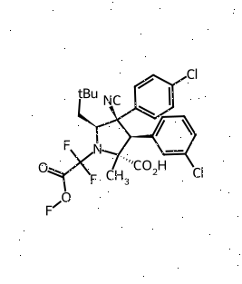 CC(C)(C)C[C@@H]1N(C(F)(F)C(=O)OF)[C@@](C)(C(=O)O)[C@H](c2cccc(Cl)c2)[C@@]1(C#N)c1ccc(Cl)cc1